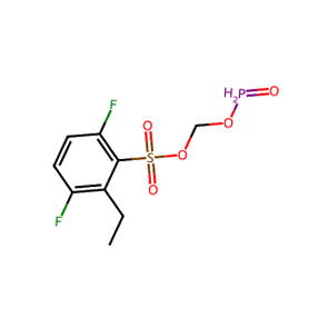 CCc1c(F)ccc(F)c1S(=O)(=O)OCO[PH2]=O